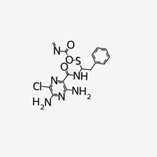 C=NC(=O)OSC(Cc1ccccc1)NC(=O)c1nc(Cl)c(N)nc1N